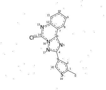 Cc1cc(-c2nc3c4ccccc4nc(Cl)n3n2)cs1